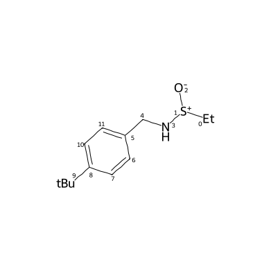 CC[S+]([O-])NCc1ccc(C(C)(C)C)cc1